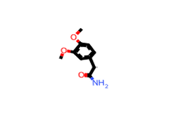 COc1ccc([CH]C(N)=O)cc1OC